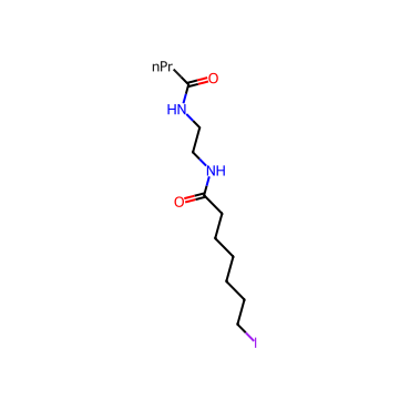 CCCC(=O)NCCNC(=O)CCCCCCI